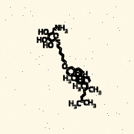 CC(C)CCC[C@@H](C)[C@H]1CC[C@H]2[C@@H]3CC=C4CC(OCCCCCCS[C@@H]5O[C@H](CN)[C@H](O)[C@H](O)[C@H]5O)CC[C@]4(C)[C@H]3CC[C@]12C